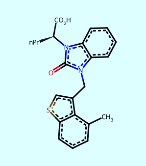 CCC[C@@H](C(=O)O)n1c(=O)n(Cc2csc3cccc(C)c23)c2ccccc21